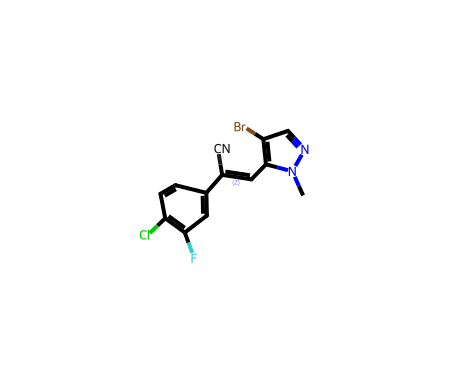 Cn1ncc(Br)c1/C=C(\C#N)c1ccc(Cl)c(F)c1